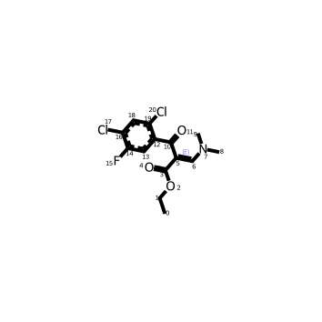 CCOC(=O)/C(=C/N(C)C)C(=O)c1cc(F)c(Cl)cc1Cl